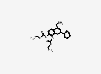 CCOC(=O)Oc1ccc2c(c1OC(=O)OCC)CC(c1ccccc1)C=C2CN